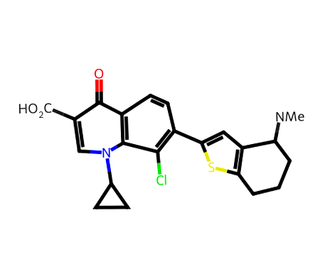 CNC1CCCc2sc(-c3ccc4c(=O)c(C(=O)O)cn(C5CC5)c4c3Cl)cc21